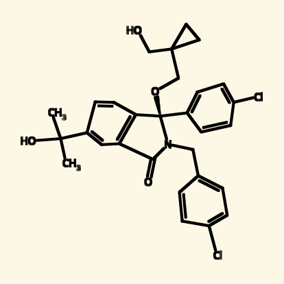 CC(C)(O)c1ccc2c(c1)C(=O)N(Cc1ccc(Cl)cc1)[C@@]2(OCC1(CO)CC1)c1ccc(Cl)cc1